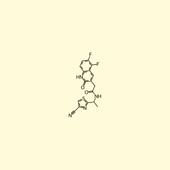 CC(NC(=O)Cc1cc2c(F)c(F)ccc2[nH]c1=O)c1nc(C#N)cs1